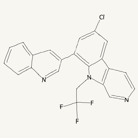 FC(F)(F)Cn1c2cnccc2c2cc(Cl)cc(-c3cnc4ccccc4c3)c21